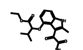 CCOC(=O)C(Oc1cccc2[nH]c(C)c(C(=O)C(N)=O)c12)C(C)C